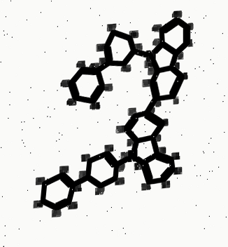 C1=CC2C3C=CC(C4=CC5c6ccccc6N(C6=CCC(C7=CCCC=C7)CC6)C5C=C4)=CC3N(C3CCC=C(c4ccccc4)C3)C2C=C1